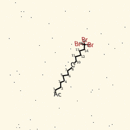 CC(=O)CCCCCCCCCCCCCCC(Br)(Br)Br